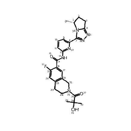 C[C@@H]1CCc2nnc(-c3cccc(NC(=O)c4cc5c(cc4F)CCN(C(=O)C(C)(C)O)C5)n3)n21